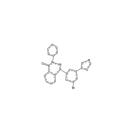 O=c1c2ccccc2c(-c2cc(Br)cc(-c3cnco3)c2)nn1-c1ccccc1